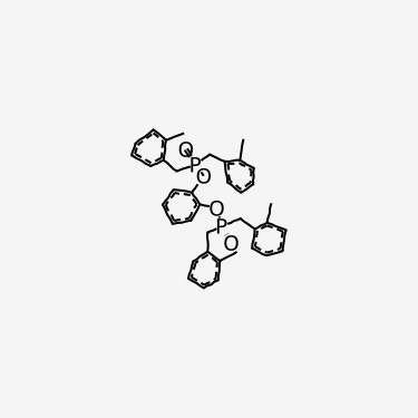 Cc1ccccc1CP(=O)(Cc1ccccc1C)Oc1ccccc1OP(=O)(Cc1ccccc1C)Cc1ccccc1C